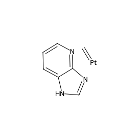 [CH2]=[Pt].c1cnc2nc[nH]c2c1